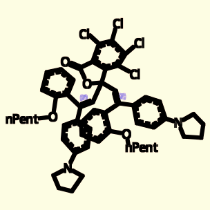 CCCCCOc1ccccc1/C(=C\C1(/C=C(/c2ccc(N3CCCC3)cc2)c2ccccc2OCCCCC)OC(=O)c2c(Cl)c(Cl)c(Cl)c(Cl)c21)c1ccc(N2CCCC2)cc1